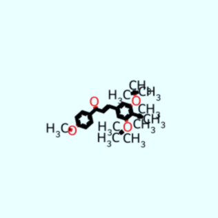 COc1ccc(C(=O)C=Cc2cc(OC(C)(C)C)c(C(C)(C)C)c(OC(C)(C)C)c2)cc1